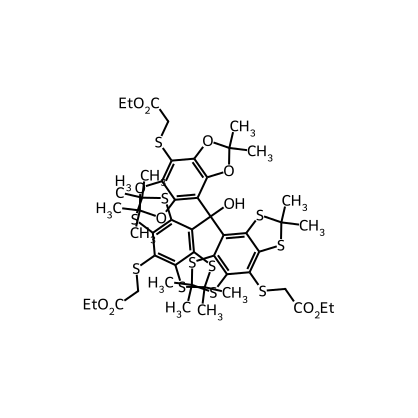 CCOC(=O)CSc1c2c(c(C(O)(c3c4c(c(SCC(=O)OCC)c5c3SC(C)(C)S5)SC(C)(C)S4)c3c4c(c(SCC(=O)OCC)c5c3SC(C)(C)S5)SC(C)(C)S4)c3c1OC(C)(C)O3)OC(C)(C)O2